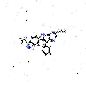 CSc1cnc2c(-c3ccccc3)c(-c3ccc(C4(N)CCC4)cc3)[nH]c2n1